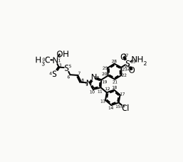 CN(O)C(=S)SCC=Cn1cc(-c2ccc(Cl)cc2)c(-c2ccc(S(N)(=O)=O)cc2)n1